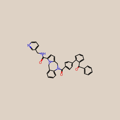 O=C(c1ccccc1)c1ccccc1-c1ccc(C(=O)N2Cc3ccc(C(=O)NCc4cccnc4)n3Cc3ccccc32)cc1